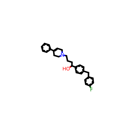 OC(CCCN1CC=C(c2ccccc2)CC1)c1ccc(Cc2ccc(F)cc2)cc1